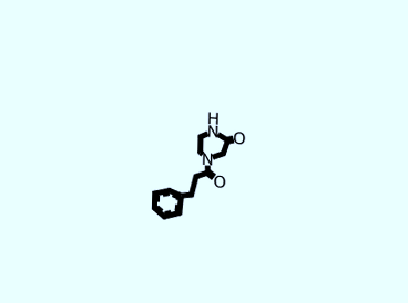 O=C1CN(C(=O)CCc2ccccc2)CCN1